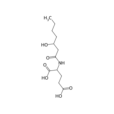 CCCCC(O)CC(=O)NC(CCC(=O)O)C(=O)O